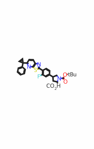 CC(C)(C)OC(=O)N1CC(c2ccc(-c3nc4ccc(C5(c6ccccc6)C=C5)nc4s3)c(F)c2)CC1C(=O)O